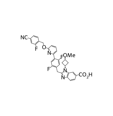 CO[C@H]1C[C@@H](n2c(Cc3cc(F)c(-c4cccc(OCc5ccc(C#N)cc5F)n4)cc3F)nc3ccc(C(=O)O)cc32)C1